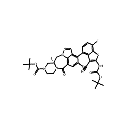 CC(C)(C)OC(=O)Nc1sc2c(F)ccc(-c3c(F)cc4c5c3cnn5C[C@@H]3CN(C(=O)OC(C)(C)C)CCN3C4=O)c2c1C#N